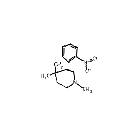 CN1CCC(C)(C)CC1.O=[N+]([O-])c1ccccc1